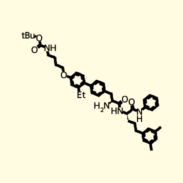 CCc1cc(OCCCCNC(=O)OC(C)(C)C)ccc1-c1ccc(C[C@H](N)C(=O)N[C@@H](CCCc2cc(C)cc(C)c2)C(=O)Nc2ccccc2)cc1